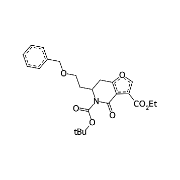 CCOC(=O)c1coc2c1C(=O)N(C(=O)OC(C)(C)C)C(CCOCc1ccccc1)C2